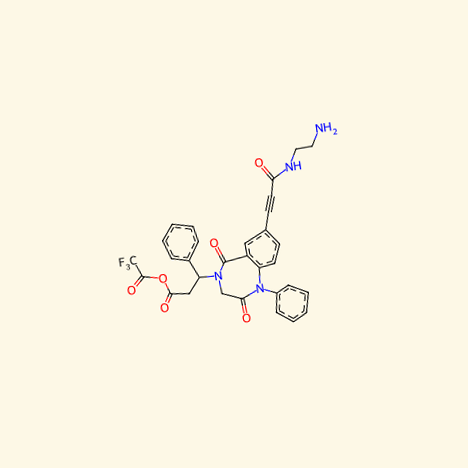 NCCNC(=O)C#Cc1ccc2c(c1)C(=O)N(C(CC(=O)OC(=O)C(F)(F)F)c1ccccc1)CC(=O)N2c1ccccc1